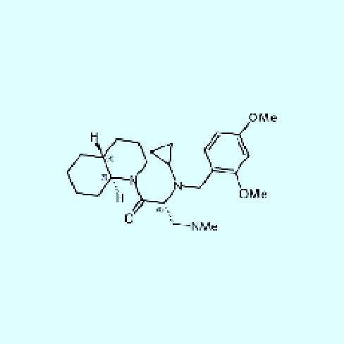 CNC[C@H](C(=O)N1CCC[C@H]2CCCC[C@@H]21)N(Cc1ccc(OC)cc1OC)C1CC1